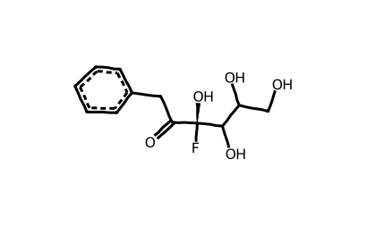 O=C(Cc1ccccc1)[C@@](O)(F)C(O)C(O)CO